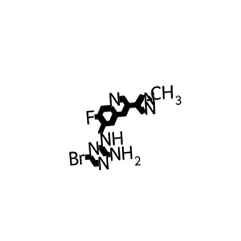 Cn1cc(-c2cnc3cc(F)c(CNc4nc(Br)cnc4N)cc3c2)cn1